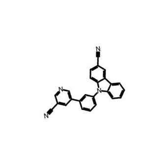 N#Cc1cncc(-c2cccc(-n3c4ccccc4c4cc(C#N)ccc43)c2)c1